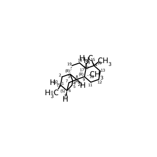 C[C@H]1C[C@]23CC[C@H]1C[C@H]2[C@]1(C)CCCC(C)(C)[C@H]1CC3